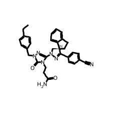 CCc1ccc(Cn2nc(N3C[C@@]4(CCc5ccccc54)C(c4ccc(C#N)cc4)=N3)n(CCC(N)=O)c2=O)cc1